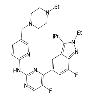 CCN1CCN(Cc2ccc(Nc3ncc(F)c(-c4cc(F)c5nn(CC)c(C(C)C)c5c4)n3)nc2)CC1